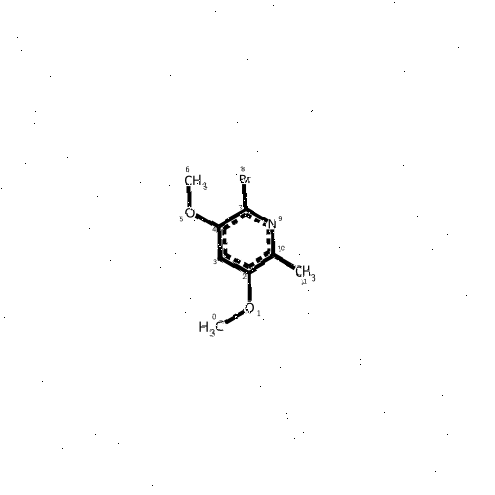 COc1cc(OC)c(Br)nc1C